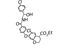 CCOC(=O)C1CCOc2cc(Oc3ccc(C(=O)NCC(O)c4ccc(Cl)cc4)cc3)c(Cl)cc21